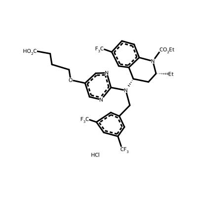 CCOC(=O)N1c2ccc(C(F)(F)F)cc2[C@@H](N(Cc2cc(C(F)(F)F)cc(C(F)(F)F)c2)c2ncc(OCCCC(=O)O)cn2)C[C@H]1CC.Cl